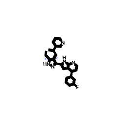 C=C(/C=c1/c(-c2cc3c(-c4cccc(F)c4)ccnc3[nH]2)n[nH]/c1=C/C)c1cccnc1